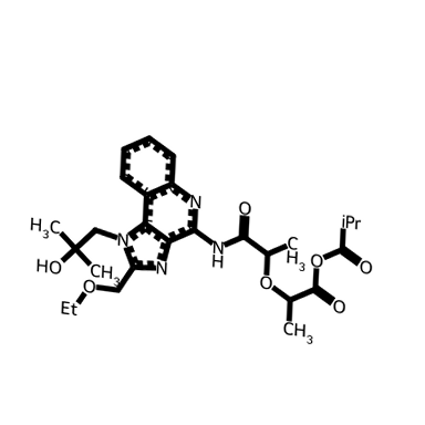 CCOCc1nc2c(NC(=O)C(C)OC(C)C(=O)OC(=O)C(C)C)nc3ccccc3c2n1CC(C)(C)O